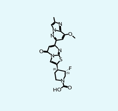 COc1cc(-c2cc(=O)n3cc([C@@H]4CCN(C(=O)O)C[C@H]4F)sc3n2)nn2cc(C)nc12